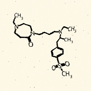 CCN1CCC(=O)N(CCCCN(CC)C(C)Cc2ccc(S(C)(=O)=O)cc2)CC1